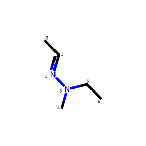 CC=NN(C)CC